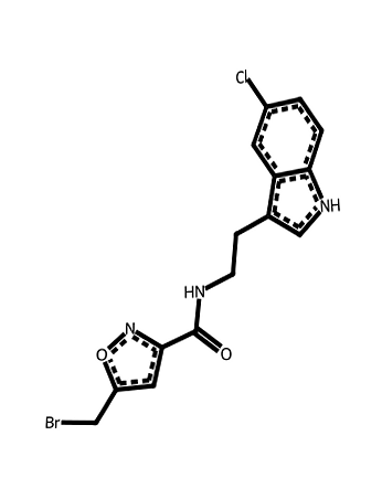 O=C(NCCc1c[nH]c2ccc(Cl)cc12)c1cc(CBr)on1